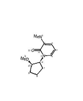 CNc1cccn([C@H]2CCC[C@H]2OC)c1=O